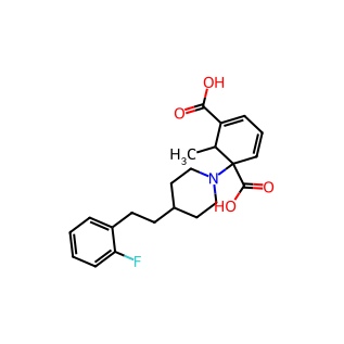 CC1C(C(=O)O)=CC=CC1(C(=O)O)N1CCC(CCc2ccccc2F)CC1